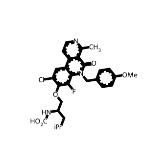 COc1ccc(Cn2c(=O)c3c(C)nccc3c3cc(Cl)c(OCC(CC(C)C)NC(=O)O)c(F)c32)cc1